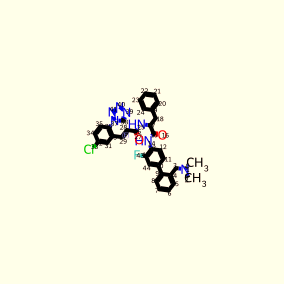 CN(C)Cc1ccccc1-c1ccc(NC(=O)C(Cc2ccccc2)NC(=O)/C=C/c2cc(Cl)ccc2-n2cnnn2)c(F)c1